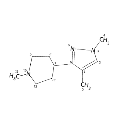 Cc1cn(C)nc1C1CCN(C)CC1